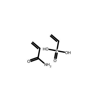 C=CC(N)=O.C=CP(=O)(O)O